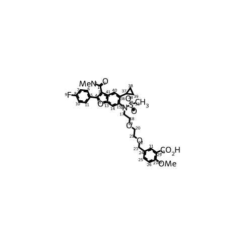 CNC(=O)c1c(-c2ccc(F)cc2)oc2cc(N(CCOCCOCc3ccc(OC)c(C(=O)O)c3)S(C)(=O)=O)c(C3CC3)cc12